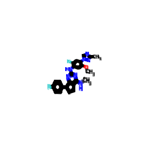 CNc1nc(Nc2cc(OC)c(-n3cnc(C)n3)cc2F)nc2c1CCC2c1ccc(F)cc1